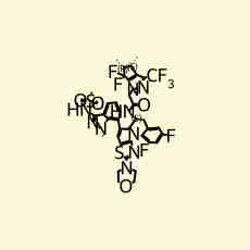 C[C@@H]1c2c(C(F)(F)F)nn(CC(=O)N[C@@H](Cc3cc(F)cc(F)c3)c3nc4nc(N5CCOCC5)sc4cc3-c3cccc4c(NS(C)(=O)=O)nn(C)c34)c2C(F)(F)[C@@H]1C